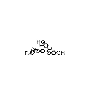 CC1=C(c2ccc(O)c(F)c2)C(c2ccc(OC[C@H](C)N3CC[C@@H](CF)C3)cc2)Oc2ccc(O)cc21